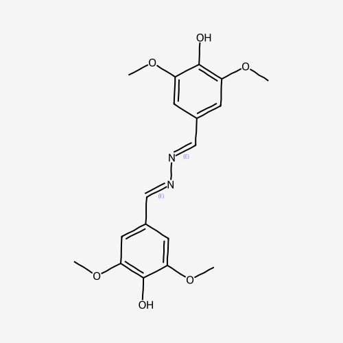 COc1cc(/C=N/N=C/c2cc(OC)c(O)c(OC)c2)cc(OC)c1O